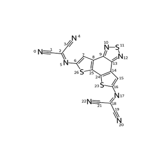 N#CC(C#N)=Nc1cc2c3nsnc3c3cc(N=C(C#N)C#N)sc3c2s1